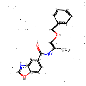 O=C(N[C@@H](COCc1ccccc1)C(=O)O)c1ccc2ocnc2c1